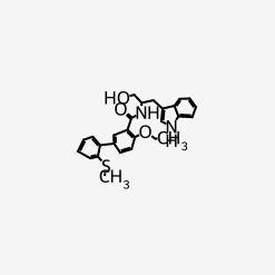 CCOc1ccc(-c2ccccc2SC)cc1C(=O)NC(CO)Cc1c[nH]c2ccccc12